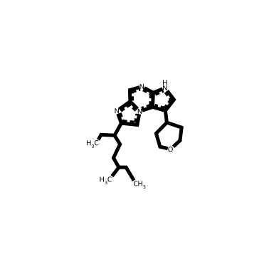 CCC(C)CCC(CC)c1cn2c(cnc3[nH]cc(C4CCOCC4)c32)n1